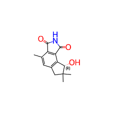 Cc1cc2c(c3c1C(=O)NC3=O)[C@H](O)C(C)(C)C2